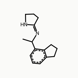 CC(/N=C1/CCCN1)c1cccc2c1CCC2